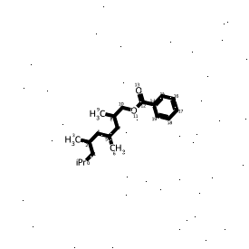 CC(C)CC(C)CC(C)CC(C)COC(=O)c1ccccc1